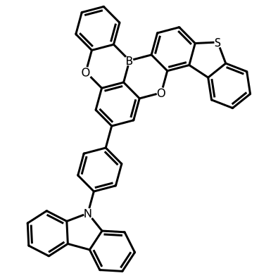 c1ccc2c(c1)Oc1cc(-c3ccc(-n4c5ccccc5c5ccccc54)cc3)cc3c1B2c1ccc2sc4ccccc4c2c1O3